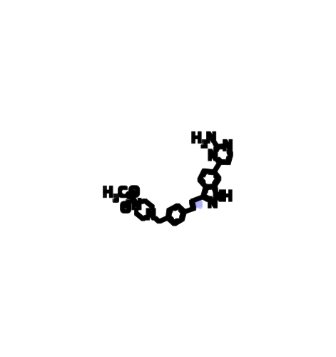 CS(=O)(=O)N1CCN(Cc2ccc(/C=C/c3n[nH]c4cc(-c5ccnc(N)n5)ccc34)cc2)CC1